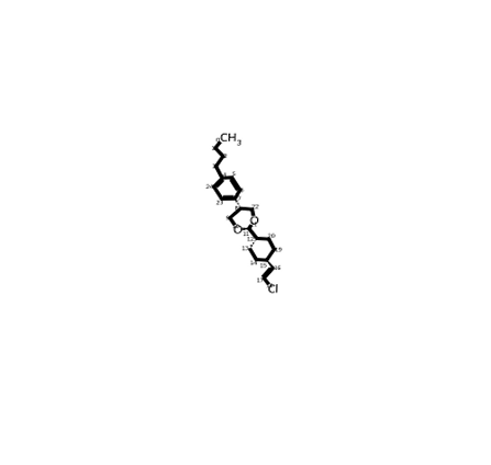 CCCCc1ccc([C@H]2CO[C@H]([C@H]3CC[C@H](/C=C/Cl)CC3)OC2)cc1